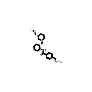 CCOC[C@@H]1CCCN(C[C@H]2CCCC[C@@H]2NC(=O)c2ccc(CNC(C)=O)cc2)C1